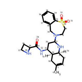 CC1=CC[C@@H]2NC(N3CCS(=O)(=O)c4ccccc4C3)C[C@H](NC(=O)C3CCN3)[C@@H]2C1